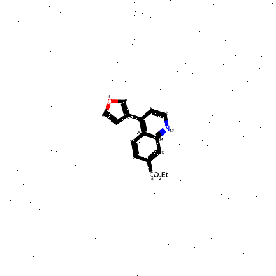 CCOC(=O)c1ccc2c(-c3ccoc3)ccnc2c1